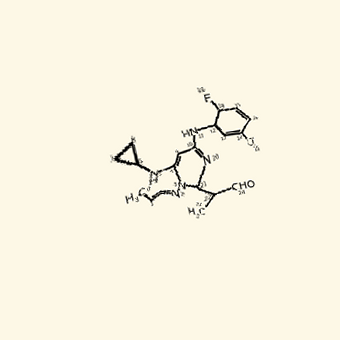 C/C=N\N1C(NC2CC2)=CC(NC2C=C(Cl)C=CC2F)=NC1C(C)C=O